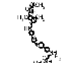 C=N/C=C\C(=N/CNc1ccc(N2CCC(CN3CCCC(c4ccc(NC(C)CCC(=O)NC=O)cc4)CC3)CC2)cc1)c1ccc(CNC(=O)c2cnn(C)c2)c(C)c1